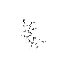 O=C(OC(F)(F)C(F)CF)OC(F)(F)C(F)CF